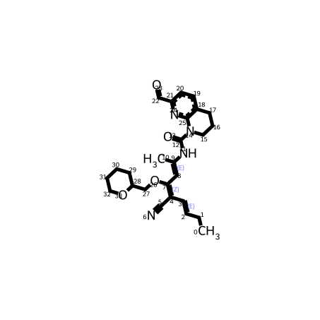 CC/C=C/C(C#N)=C(\C=C(/C)NC(=O)N1CCCc2ccc(C=O)nc21)OCC1CCCCO1